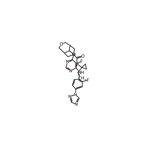 CCC1(OC(=O)N2CC3COCC(C2)C3Oc2ncnc(Nc3ccc(-n4cncn4)cc3F)c2F)CC1